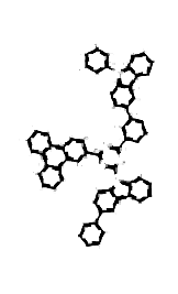 c1ccc(-c2ccc3c(c2)c2ccccc2n3-c2nc(-c3cccc(-c4ccc5c(c4)c4ccccc4n5-c4ccccc4)c3)nc(-c3ccc4c5ccccc5c5ccccc5c4c3)n2)cc1